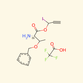 C#CC(I)OC(=O)[C@@H](N)C(C)OCc1ccccc1.O=C(O)C(F)(F)F